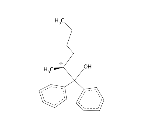 CCCC[C@H](C)C(O)(c1ccccc1)c1ccccc1